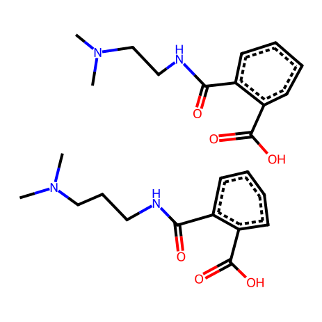 CN(C)CCCNC(=O)c1ccccc1C(=O)O.CN(C)CCNC(=O)c1ccccc1C(=O)O